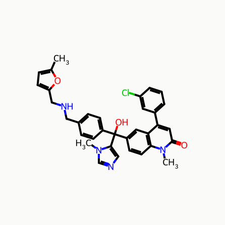 Cc1ccc(CNCc2ccc(C(O)(c3ccc4c(c3)c(-c3cccc(Cl)c3)cc(=O)n4C)c3cncn3C)cc2)o1